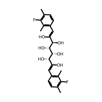 Cc1ccc(C=C(O)[C@@H](O)[C@@H](O)[C@H](O)[C@@H](O)C(O)=Cc2ccc(C)c(F)c2C)c(C)c1F